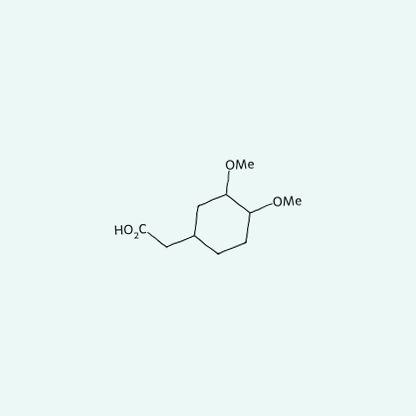 COC1CCC(CC(=O)O)CC1OC